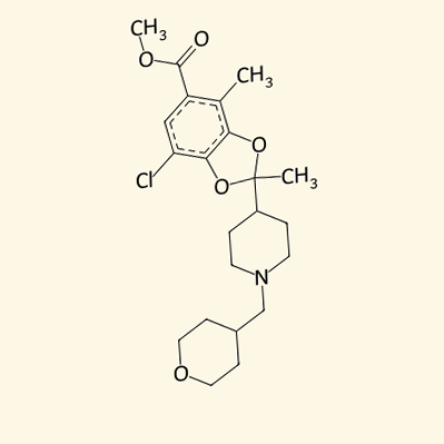 COC(=O)c1cc(Cl)c2c(c1C)OC(C)(C1CCN(CC3CCOCC3)CC1)O2